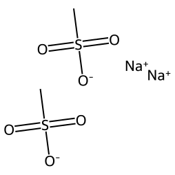 CS(=O)(=O)[O-].CS(=O)(=O)[O-].[Na+].[Na+]